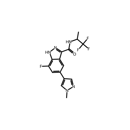 CC(NC(=O)c1n[nH]c2c(F)cc(-c3cnn(C)c3)cc12)C(F)(F)F